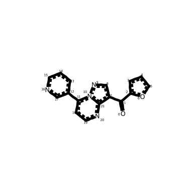 O=C(c1ccco1)c1cnn2c(-c3cccnc3)ccnc12